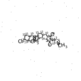 CN1CC[C@H](N2C(=O)SC(=Cc3ccc4c(cnn4Cc4ccc(Cl)cc4C(F)(F)F)c3)C2=O)C1